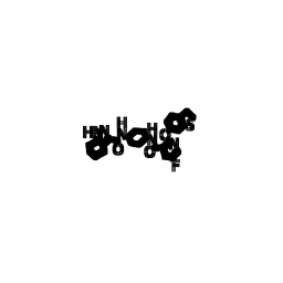 O=C(N[C@H]1CC[C@@H](NC(=O)c2n[nH]c3ccccc23)CC1)c1cc(F)cnc1Oc1ccc2c(c1)SCC2